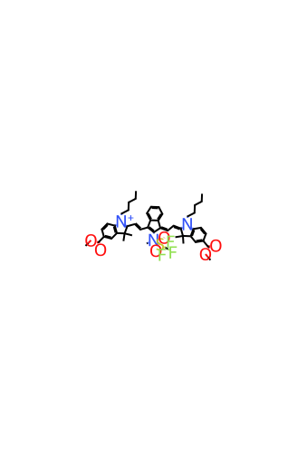 CCCCCN1/C(=C/C=C2C(N(C)S(=O)(=O)C(F)(F)F)=C(/C=C/C3=[N+](CCCCC)c4ccc(C(=O)OC)cc4C3(C)C)c3ccccc3/2)C(C)(C)c2cc(C(=O)OC)ccc21